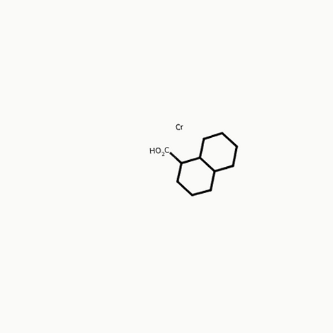 O=C(O)C1CCCC2CCCCC21.[Cr]